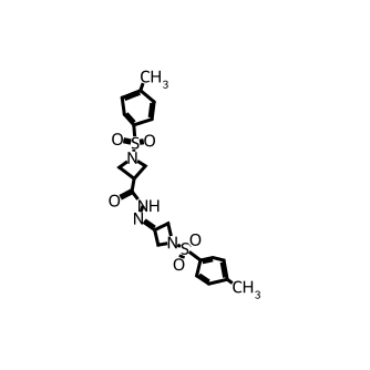 Cc1ccc(S(=O)(=O)N2CC(=NNC(=O)C3CN(S(=O)(=O)c4ccc(C)cc4)C3)C2)cc1